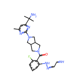 Cc1cc(C(C)(C)N)nc(N2CC3CN(C(=O)c4c(F)cccc4N/N=C\C=N)CC3C2)n1